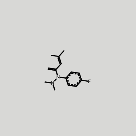 C=C(C=C(C)C)N(c1ccc(F)cc1)N(C)C